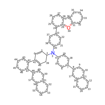 C1=CC(N(c2ccc(-c3ccc4ccccc4c3)cc2)c2ccc(-c3cccc4c3oc3ccccc34)cc2)CC=C1c1ccccc1-c1ccc2ccccc2c1